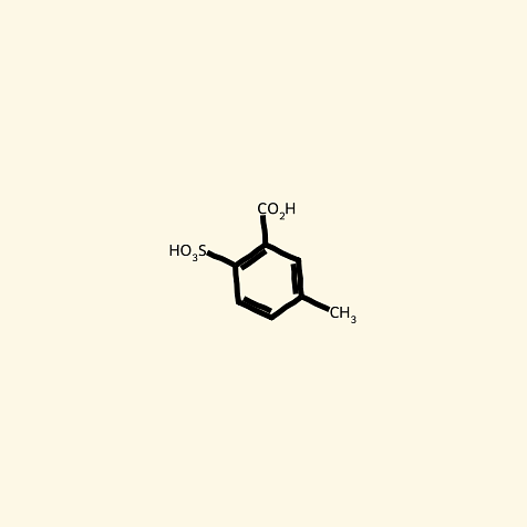 Cc1ccc(S(=O)(=O)O)c(C(=O)O)c1